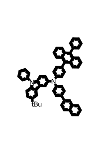 CC(C)(C)c1ccc2c(c1)c1cc(N(c3ccc(-c4ccc5ccccc5c4)cc3)c3ccc(-c4c5ccccc5c(-c5ccccc5)c5ccccc45)cc3)ccc1n2-c1ccccc1